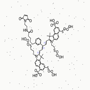 CC1(C)C(/C=C/C(=C/C=C2/N(CCCSOOO)c3ccc4c(S(=O)(=O)O)cc(SOOO)cc4c3C2(C)C)c2cccc(CCCCC(=O)NCCN3C(=O)C=CC3=O)c2)=[N+](CCSOOO)c2ccc3c(SOOO)cc(S(=O)(=O)O)cc3c21